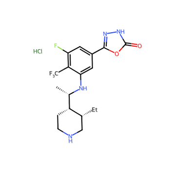 CC[C@@H]1CNCC[C@@H]1[C@H](C)Nc1cc(-c2n[nH]c(=O)o2)cc(F)c1C(F)(F)F.Cl